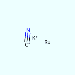 [C-]#N.[K+].[Ru]